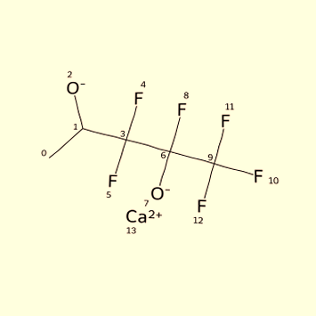 CC([O-])C(F)(F)C([O-])(F)C(F)(F)F.[Ca+2]